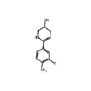 Cc1ccc(C2=CCC(C)CN2)cc1Cl